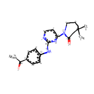 CCC1(C#N)CCN(c2ccnc(Nc3ccc(C(=O)NC)cc3)n2)C1=O